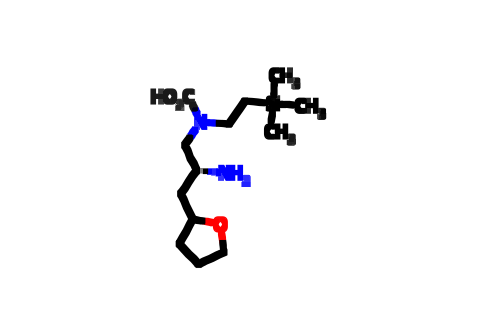 C[Si](C)(C)CCN(C[C@H](N)CC1CCCO1)C(=O)O